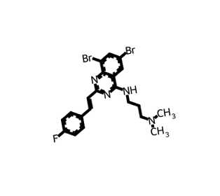 CN(C)CCCNc1nc(/C=C/c2ccc(F)cc2)nc2c(Br)cc(Br)cc12